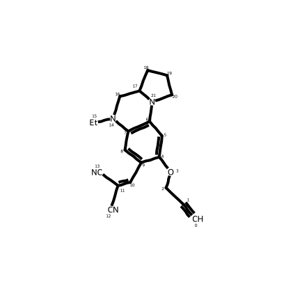 C#CCOc1cc2c(cc1C=C(C#N)C#N)N(CC)CC1CCCN21